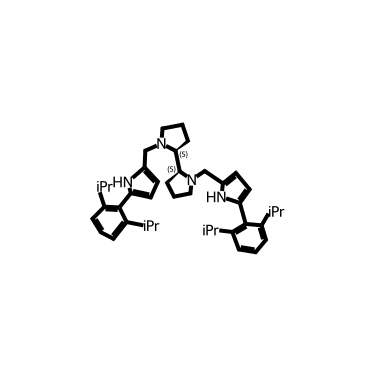 CC(C)c1cccc(C(C)C)c1-c1ccc(CN2CCC[C@H]2[C@@H]2CCCN2Cc2ccc(-c3c(C(C)C)cccc3C(C)C)[nH]2)[nH]1